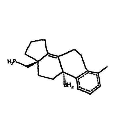 B[C@]12CC[C@]3(CP)CCCC3=C1CCc1c(C)cccc12